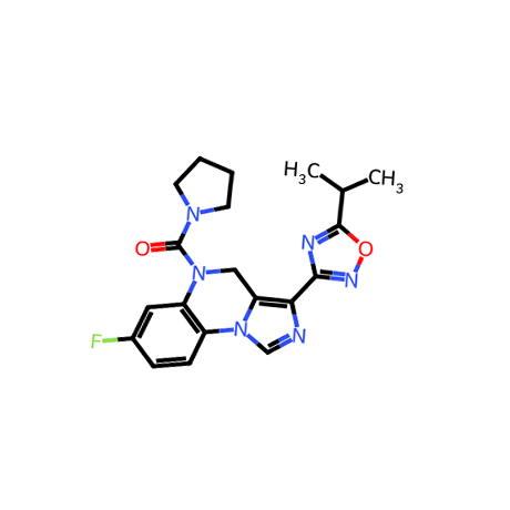 CC(C)c1nc(-c2ncn3c2CN(C(=O)N2CCCC2)c2cc(F)ccc2-3)no1